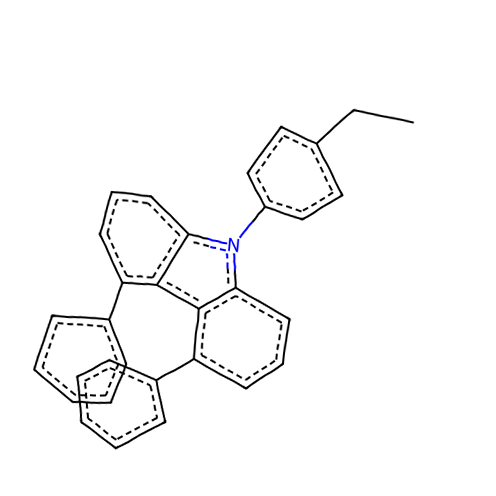 CCc1ccc(-n2c3cccc(-c4ccccc4)c3c3c(-c4ccccc4)cccc32)cc1